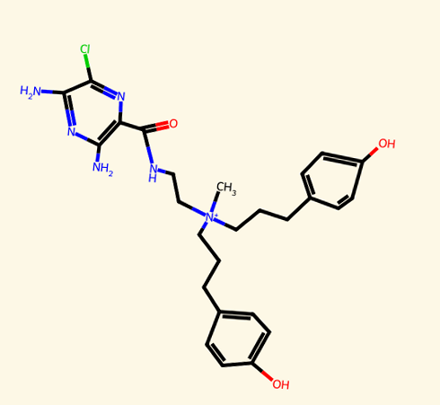 C[N+](CCCc1ccc(O)cc1)(CCCc1ccc(O)cc1)CCNC(=O)c1nc(Cl)c(N)nc1N